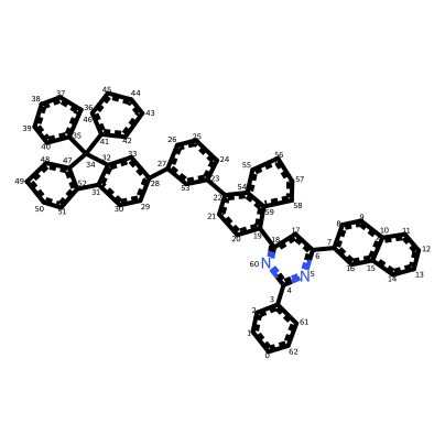 c1ccc(-c2nc(-c3ccc4ccccc4c3)cc(-c3ccc(-c4cccc(-c5ccc6c(c5)C(c5ccccc5)(c5ccccc5)c5ccccc5-6)c4)c4ccccc34)n2)cc1